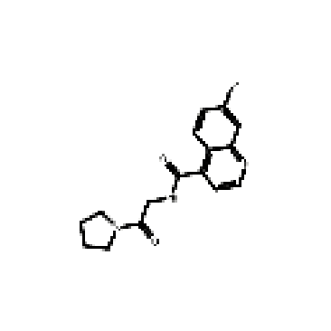 O=C(NCC(=O)N1CCCC1)c1ccnc2cc(Br)ccc12